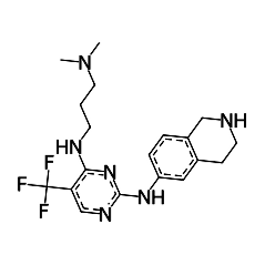 CN(C)CCCNc1nc(Nc2ccc3c(c2)CCNC3)ncc1C(F)(F)F